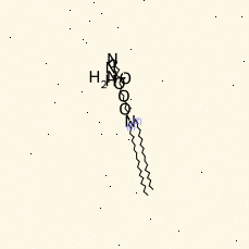 CCCCCCCCCCCCCCCC/C=C\N(/C=C/CCCCCCCCCCCCCCCC)CCOCCOCCOC(=O)C(N)Cc1cnc[nH]1